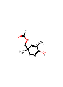 CCC(=O)OCC1(C)C=C(C)C(O)=CC1